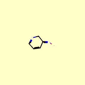 ON=C1C=CC=NC1